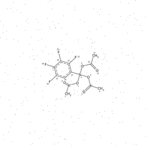 CC(=O)O[Si](OC(C)=O)(OC(C)=O)c1cc(F)c(F)c(F)c1F